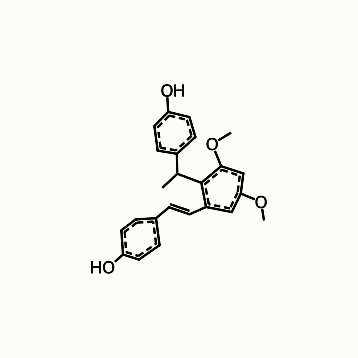 COc1cc(/C=C/c2ccc(O)cc2)c(C(C)c2ccc(O)cc2)c(OC)c1